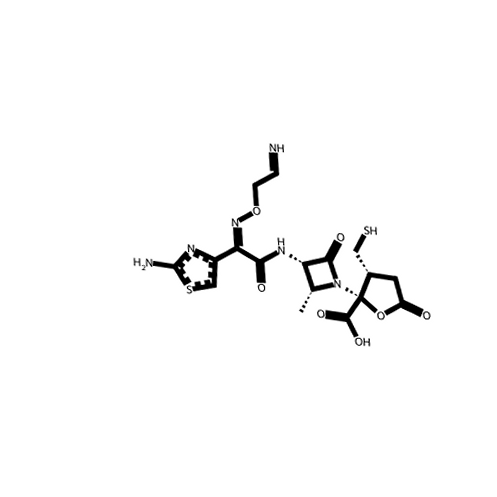 C[C@@H]1[C@H](NC(=O)/C(=N\OCC=N)c2csc(N)n2)C(=O)N1[C@@]1(C(=O)O)OC(=O)C[C@H]1CS